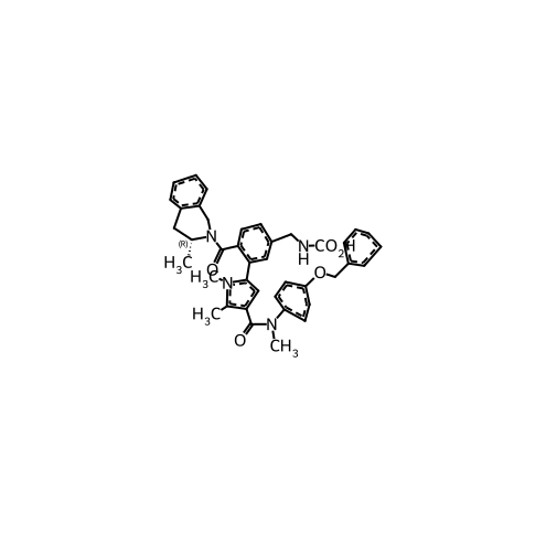 Cc1c(C(=O)N(C)c2ccc(OCc3ccccc3)cc2)cc(-c2cc(CNC(=O)O)ccc2C(=O)N2Cc3ccccc3C[C@H]2C)n1C